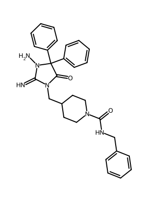 N=C1N(CC2CCN(C(=O)NCc3ccccc3)CC2)C(=O)C(c2ccccc2)(c2ccccc2)N1N